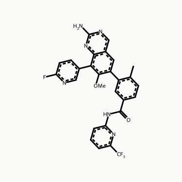 COc1c(-c2cc(C(=O)Nc3cccc(C(F)(F)F)n3)ccc2C)cc2cnc(N)nc2c1-c1ccc(F)nc1